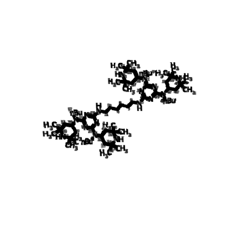 CCCCN(c1nc(NCCCCCCNc2nc(N(CCCC)C3CC(C)(C)NC(C)(C)C3)nc(N(CCCC)C3CC(C)(C)NC(C)(C)C3)n2)nc(N(CCCC)C2CC(C)(C)NC(C)(C)C2)n1)C1CC(C)(C)NC(C)(C)C1